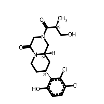 C[C@@H](CO)C(=O)N1CC(=O)N2CC[C@@H](c3c(O)ccc(Cl)c3Cl)C[C@H]2C1